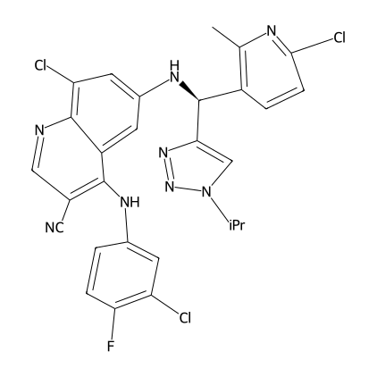 Cc1nc(Cl)ccc1[C@H](Nc1cc(Cl)c2ncc(C#N)c(Nc3ccc(F)c(Cl)c3)c2c1)c1cn(C(C)C)nn1